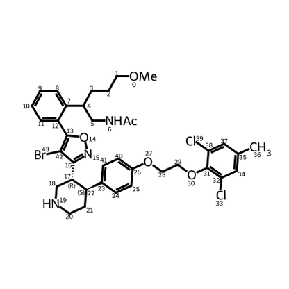 COCCCC(CNC(C)=O)c1ccccc1-c1onc([C@H]2CNCC[C@@H]2c2ccc(OCCOc3c(Cl)cc(C)cc3Cl)cc2)c1Br